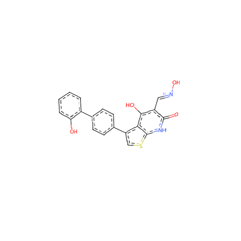 O=c1[nH]c2scc(-c3ccc(-c4ccccc4O)cc3)c2c(O)c1/C=N/O